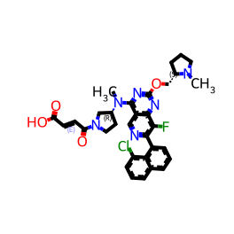 CN1CCC[C@H]1COc1nc(N(C)[C@@H]2CCN(C(=O)/C=C/C(=O)O)C2)c2cnc(-c3cccc4cccc(Cl)c34)c(F)c2n1